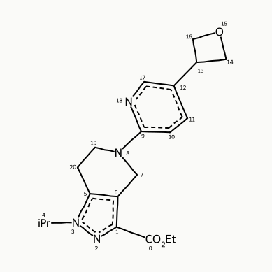 CCOC(=O)c1nn(C(C)C)c2c1CN(c1ccc(C3COC3)cn1)CC2